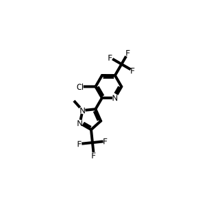 Cn1nc(C(F)(F)F)cc1-c1ncc(C(F)(F)F)cc1Cl